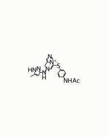 CC(=O)Nc1ccc(SC2=CN(Nc3cc(C)[nH]n3)CC3=CN=C[N+]32)cc1